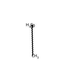 CCCCCCCCCCCCCCCCCCCCCCCCCCCCCOC(C)=O